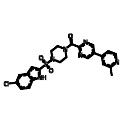 Cc1cc(-c2cnc(C(=O)N3CCN(S(=O)(=O)c4cc5cc(Cl)ccc5[nH]4)CC3)nc2)ccn1